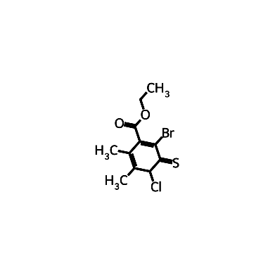 CCOC(=O)C1=C(Br)C(=S)C(Cl)C(C)=C1C